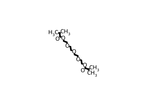 CC(C)C(=O)OCCOCCOCCOCCOC(=O)C(C)C